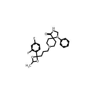 CC1OC(CCCN2CCC3(CC2)C(=O)NCN3c2ccccc2)(c2ccc(F)cc2F)O1